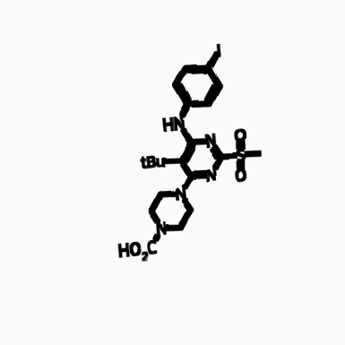 CC(C)(C)c1c(Nc2ccc(I)cc2)nc(S(C)(=O)=O)nc1N1CCN(C(=O)O)CC1